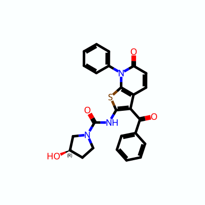 O=C(c1ccccc1)c1c(NC(=O)N2CC[C@@H](O)C2)sc2c1ccc(=O)n2-c1ccccc1